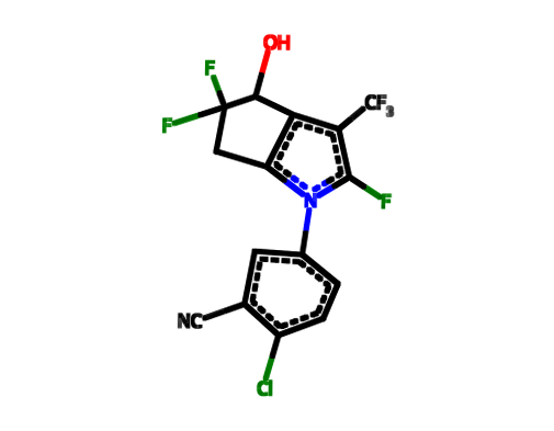 N#Cc1cc(-n2c(F)c(C(F)(F)F)c3c2CC(F)(F)C3O)ccc1Cl